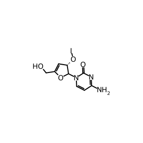 Nc1ccn(C2OC(CO)=C[C@@H]2OI)c(=O)n1